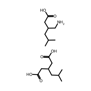 CC(C)CC(CC(=O)O)CC(=O)O.CC(C)CC(CN)CC(=O)O